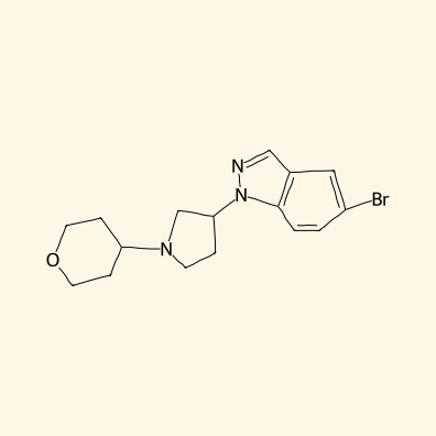 Brc1ccc2c(cnn2C2CCN(C3CCOCC3)C2)c1